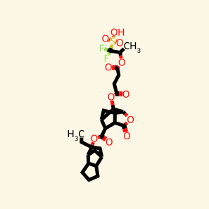 CCC1(OC(=O)C2C3CC4C(OC(=O)C42)C3OC(=O)CCC(=O)OC(C)C(F)(F)S(=O)(=O)O)CC2CC1C1CCCC21